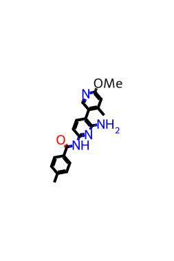 COc1cc(C)c(-c2ccc(NC(=O)c3ccc(C)cc3)nc2N)cn1